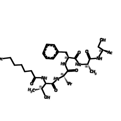 CCCCCCCCCCCCCCCC(=O)NC(C(=O)N[C@H](C(=O)N[C@@H](Cc1ccccc1)C(=O)N[C@@H](C)C(=O)N[C@@H](CO)C(C)=O)C(C)C)[C@@H](C)O